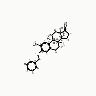 CCc1cc2c(cc1OCc1ccccc1)CC[C@@H]1[C@@H]2CC[C@]2(C)C(=O)CC[C@@H]12